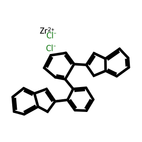 C1=C(c2ccccc2-c2ccccc2C2=Cc3ccccc3C2)Cc2ccccc21.[Cl-].[Cl-].[Zr+2]